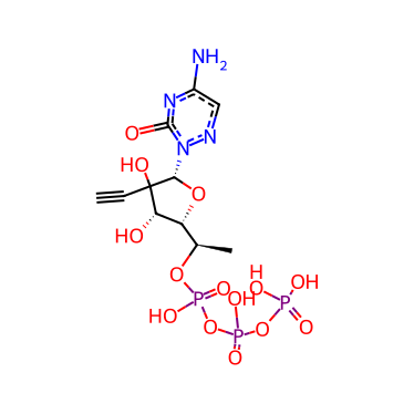 C#CC1(O)[C@@H](O)[C@@H]([C@@H](C)OP(=O)(O)OP(=O)(O)OP(=O)(O)O)O[C@H]1n1ncc(N)nc1=O